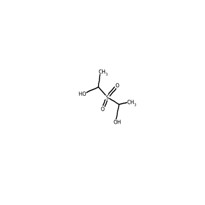 CC(O)S(=O)(=O)C(C)O